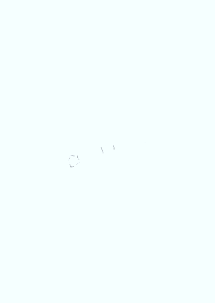 [CH2]CCCC(=O)OC(=O)COCc1ccccc1